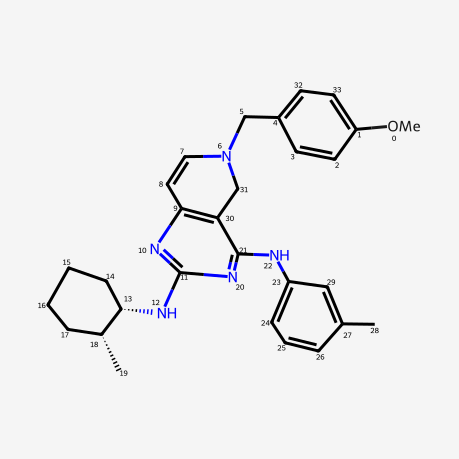 COc1ccc(CN2C=Cc3nc(N[C@H]4CCCC[C@H]4C)nc(Nc4cccc(C)c4)c3C2)cc1